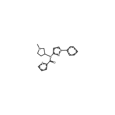 CN1CCC(N(C(=O)c2cccs2)c2ccn(-c3ccccc3)n2)C1